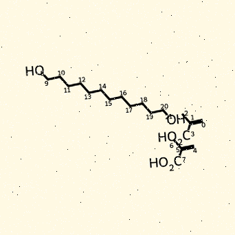 C=C(C)C(=O)O.C=C(C)C(=O)O.OCCCCCCCCCCCCO